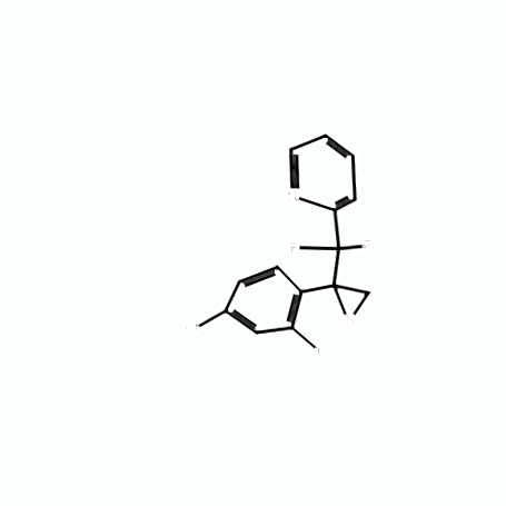 Fc1cc(Cl)ccc1C1(C(F)(F)c2ccccn2)CO1